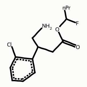 CCCC(F)OC(=O)CC(CN)c1ccccc1Cl